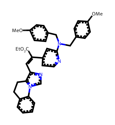 CCOC(=O)C(=Cc1ncn2c1CCc1ccccc1-2)c1ccnc(N(Cc2ccc(OC)cc2)Cc2ccc(OC)cc2)c1